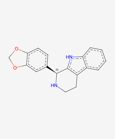 c1ccc2c3c([nH]c2c1)[C@H](c1ccc2c(c1)OCO2)NCC3